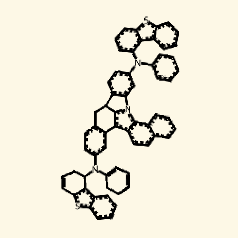 C1=CCCC(N(c2ccc3c(c2)-c2c4n(c5c2ccc2ccccc25)-c2cc(N(c5ccccc5)c5cccc6sc7ccccc7c56)ccc2C4C3)C2CC=Cc3sc4ccccc4c32)=C1